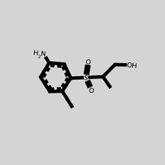 Cc1ccc(N)cc1S(=O)(=O)C(C)CO